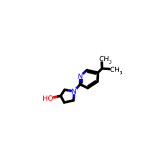 CC(C)c1ccc(N2CCC(O)C2)nc1